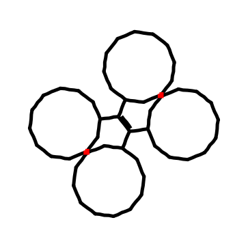 C1CCCCCC(C(=C(C2CCCCCCCCCCC2)C2CCCCCCCCCCC2)C2CCCCCCCCCCC2)CCCCC1